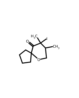 CC1COC2(CCCC2)C(=O)C1(C)I